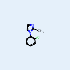 Cc1nccn1-c1ccccc1Cl